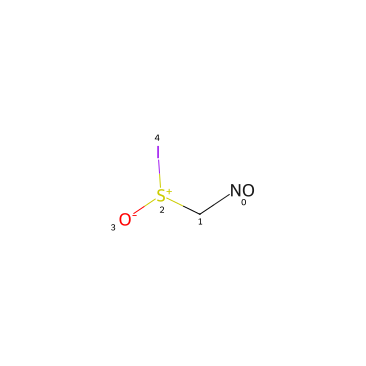 O=NC[S+]([O-])I